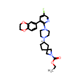 CCOC(=O)N1CC2(CC[C@@H](N3CCN(c4ncc(F)cc4-c4ccc5c(c4)OCCO5)CC3)C2)C1